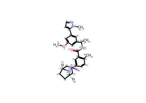 COc1cc(-c2ccnn2C)cc([C@@H](C)NC(=O)c2cc(N3C[C@H]4CC[C@@H](C3)N4CI)ccc2C)c1